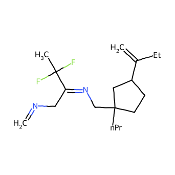 C=NC/C(=N\CC1(CCC)CCC(C(=C)CC)C1)C(C)(F)F